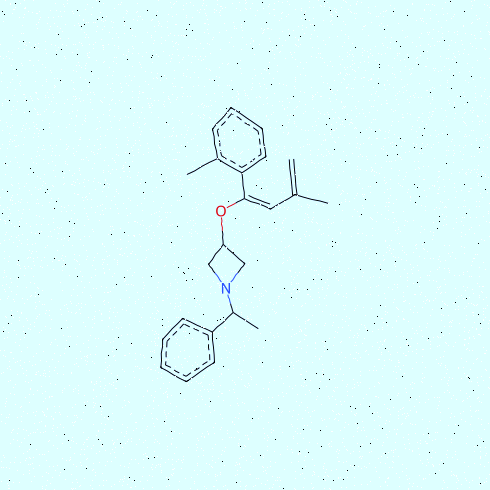 C=C(C)/C=C(/OC1CN(C(C)c2ccccc2)C1)c1ccccc1C